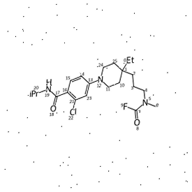 CCC1(CCCN(C)C(=O)F)CCN(c2ccc(C(=O)NC(C)C)c(Cl)c2)CC1